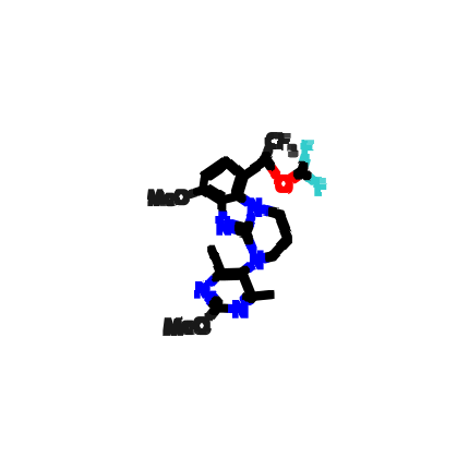 COc1nc(C)c(N2CCCn3c2nc2c(OC)ccc(C(OC(F)F)C(F)(F)F)c23)c(C)n1